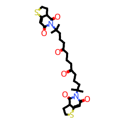 CC(C)(CCCC(=O)CCCC(=O)CCCC(C)(C)N1C(=O)C=C2SCCC2C1=O)N1C(=O)C=C2SCCC2C1=O